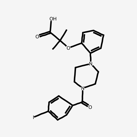 CC(C)(Oc1ccccc1N1CCN(C(=O)c2ccc(I)cc2)CC1)C(=O)O